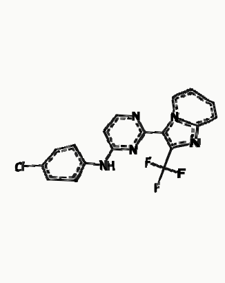 FC(F)(F)c1nc2ccccn2c1-c1nccc(Nc2ccc(Cl)cc2)n1